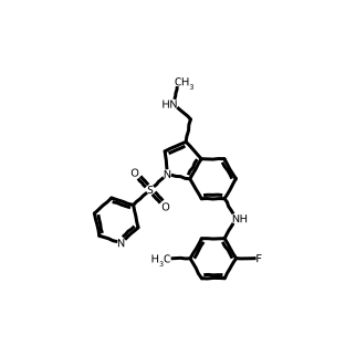 CNCc1cn(S(=O)(=O)c2cccnc2)c2cc(Nc3cc(C)ccc3F)ccc12